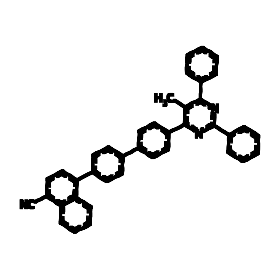 Cc1c(-c2ccccc2)nc(-c2ccccc2)nc1-c1ccc(-c2ccc(-c3ccc(C#N)c4ccccc34)cc2)cc1